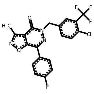 Cc1noc2c(-c3ccc(F)cc3)nn(Cc3ccc(Cl)c(C(F)(F)F)c3)c(=O)c12